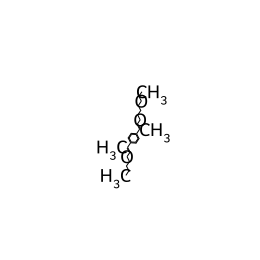 CCCCOC=C(C)c1ccc(C(C)=COCCCOCC)cc1